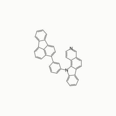 c1cc(-c2ccc3c4c(cccc24)-c2ccccc2-3)cc(-n2c3ccccc3c3ccc4cnccc4c32)c1